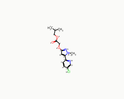 CC(C)COC(=O)COc1cc(-c2ccc(Cl)cn2)n(C)n1